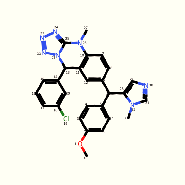 COc1ccc(C(c2ccc3c(c2)C(c2cccc(Cl)c2)n2nnnc2N3C)c2cncn2C)cc1